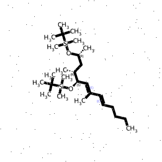 CCCC/C=C/C(C)=C/[C@@H](O[Si](C)(C)C(C)(C)C)[C@H](C)C[C@@H](C)O[Si](C)(C)C(C)(C)C